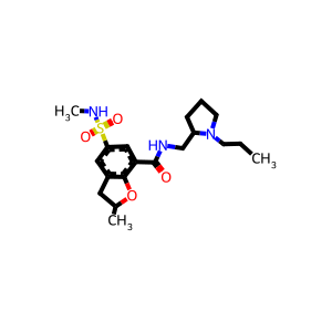 CCCN1CCCC1CNC(=O)c1cc(S(=O)(=O)NC)cc2c1OC(C)C2